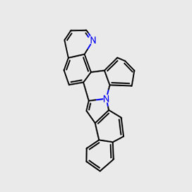 c1ccc2c(c1)ccc1c2cc2c3ccc4cccnc4c3c3ccccc3n12